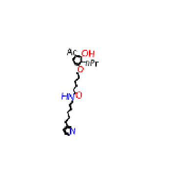 CCCc1c(OCCCCCC(=O)NCCCCCCc2cccnc2)ccc(C(C)=O)c1O